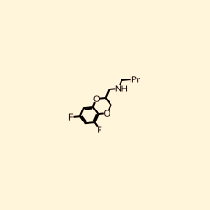 CC(C)CNCC1COc2c(F)cc(F)cc2O1